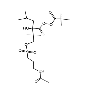 CC(=O)NCCCS(=O)(=O)OCC(C)(C)[C@](O)(CC(C)C)C(=O)OOC(=O)C(C)(C)C